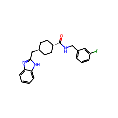 O=C(NCc1cccc(F)c1)[C@H]1CC[C@H](Cc2nc3ccccc3[nH]2)CC1